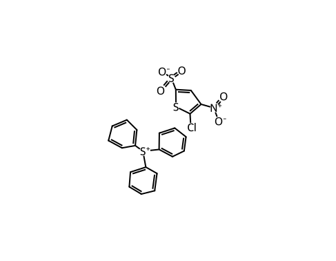 O=[N+]([O-])c1cc(S(=O)(=O)[O-])sc1Cl.c1ccc([S+](c2ccccc2)c2ccccc2)cc1